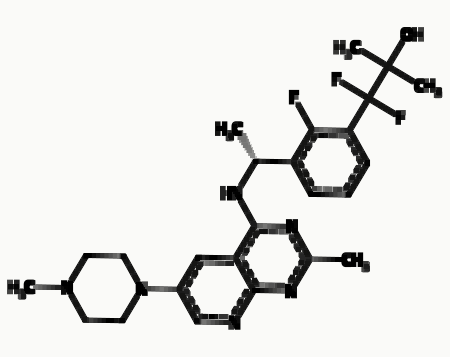 Cc1nc(N[C@H](C)c2cccc(C(F)(F)C(C)(C)O)c2F)c2cc(N3CCN(C)CC3)cnc2n1